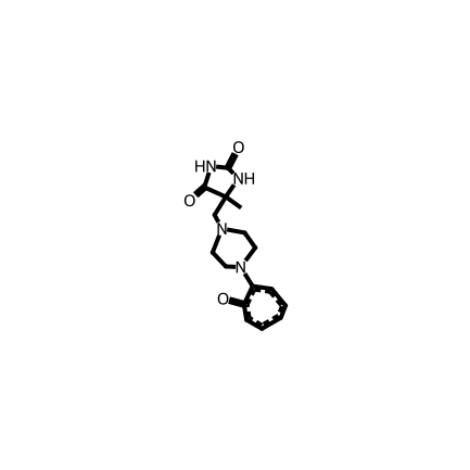 CC1(CN2CCN(c3cccccc3=O)CC2)NC(=O)NC1=O